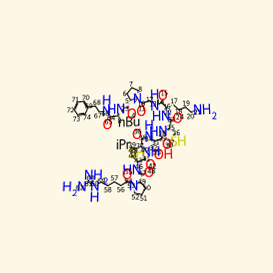 CCCC[C@@H](NC(=O)[C@@H]1CCCN1C(=O)CNC(=O)[C@H](CCCCN)NC(=O)[C@H](CS)NC(=O)[C@H](CO)NC(=O)[C@H](CC(C)C)NC(=O)[C@H](CS)NC(=O)[C@@H]1CCCN1C(=O)CCCCNC(N)N)C(=O)NCCc1ccccc1